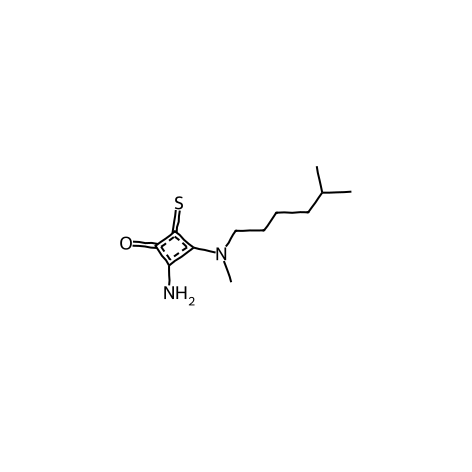 CC(C)CCCCN(C)c1c(N)c(=O)c1=S